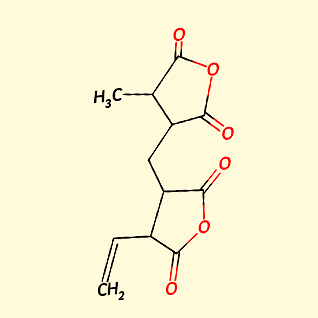 C=CC1C(=O)OC(=O)C1CC1C(=O)OC(=O)C1C